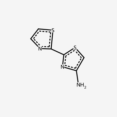 Nc1csc(-c2nccs2)n1